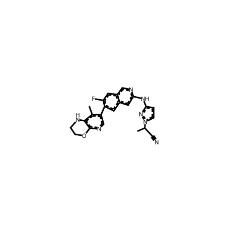 Cc1c(-c2cc3cc(Nc4ccn(C(C)C#N)n4)ncc3cc2F)cnc2c1NCCO2